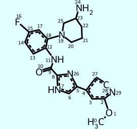 COc1cc(-c2c[nH]c(C(=O)Nc3ccc(F)cc3N3CCCC(N)C3)n2)ccn1